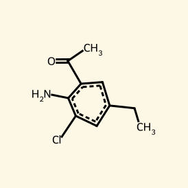 CCc1cc(Cl)c(N)c(C(C)=O)c1